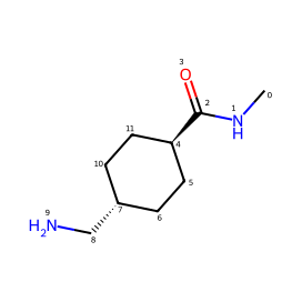 CNC(=O)[C@H]1CC[C@H](CN)CC1